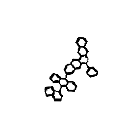 C1=CC2=Cc3nc(-c4ccccc4)c4c(c3CC2C=C1)CC1C=CC(c2c3ccccc3c(-c3cccc5ccccc35)c3ccccc23)=CC1=C4